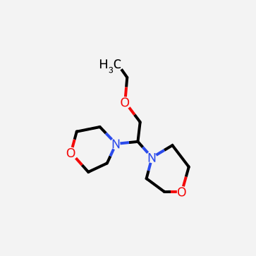 CCOCC(N1CCOCC1)N1CCOCC1